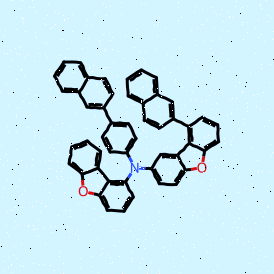 c1ccc2cc(-c3ccc(N(c4ccc5oc6cccc(-c7ccc8ccccc8c7)c6c5c4)c4cccc5oc6ccccc6c45)cc3)ccc2c1